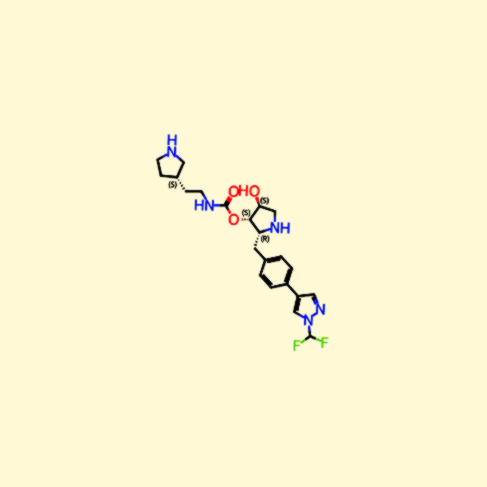 O=C(NCC[C@@H]1CCNC1)O[C@@H]1[C@@H](O)CN[C@@H]1Cc1ccc(-c2cnn(C(F)F)c2)cc1